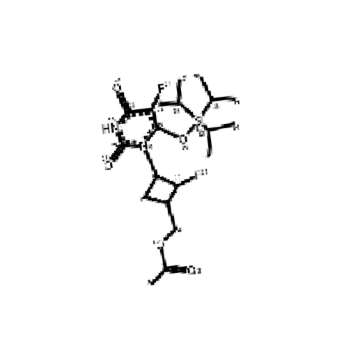 CC(=O)OCC1CC(n2c(O[Si](C(C)C)(C(C)C)C(C)C)c(F)c(=O)[nH]c2=O)C1F